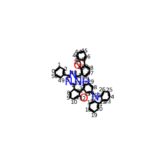 c1ccc(C2=NC(c3cccc4oc5c(-n6c7ccccc7c7ccccc76)cccc5c34)NC(c3cccc4c3oc3ccccc34)=N2)cc1